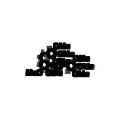 COc1cc(/C=C\c2cc(OC)c(OC)c(OC)c2)cc(N/C=C\C(=O)c2cc(OC)c(OC)c(OC)c2)c1OC